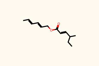 CC=CC=CCOC(=O)C=CC(C)CC